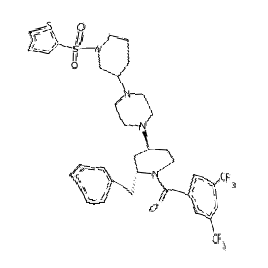 O=C(c1cc(C(F)(F)F)cc(C(F)(F)F)c1)N1CC[C@H](N2CCN(C3CCCN(S(=O)(=O)c4cccs4)C3)CC2)C[C@H]1Cc1ccccc1